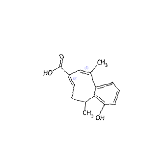 C/C1=C/C(C(=O)O)=C/CC(C)c2c(O)cccc21